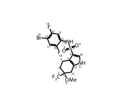 CO[C@@]1(C(F)(F)F)CCc2c(S(=O)(=O)Nc3cc(F)c(Br)cc3F)c[nH]c2C1